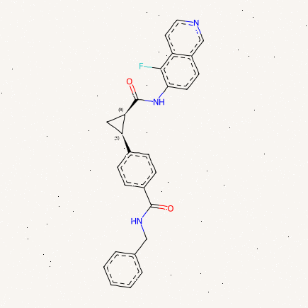 O=C(NCc1ccccc1)c1ccc([C@H]2C[C@H]2C(=O)Nc2ccc3cnccc3c2F)cc1